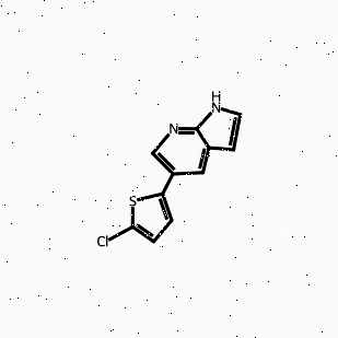 Clc1ccc(-c2cnc3[nH]ccc3c2)s1